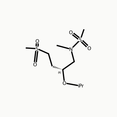 CC(C)O[C@H](CCS(C)(=O)=O)CN(C)S(C)(=O)=O